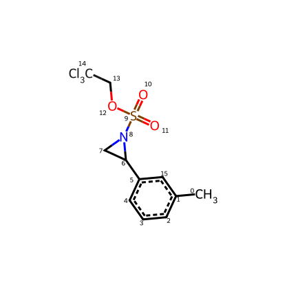 Cc1cccc(C2CN2S(=O)(=O)OCC(Cl)(Cl)Cl)c1